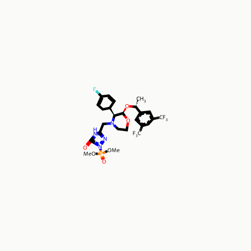 COP(=O)(OC)n1nc(CN2CCO[C@H](O[C@H](C)c3cc(C(F)(F)F)cc(C(F)(F)F)c3)[C@@H]2C2C=CC(F)=CC2)[nH]c1=O